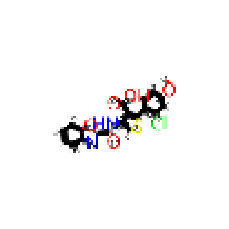 COc1ccc(-c2scc(NC(=O)c3nc4ccccc4o3)c2C(=O)O)c(Cl)c1